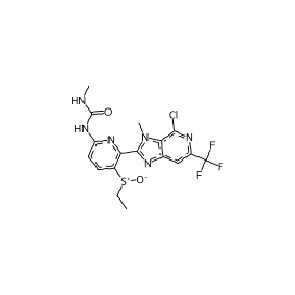 CC[S+]([O-])c1ccc(NC(=O)NC)nc1-c1nc2cc(C(F)(F)F)nc(Cl)c2n1C